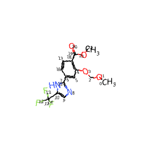 COCOc1cc(-c2ncc(C(F)(F)F)[nH]2)ccc1C(=O)OC